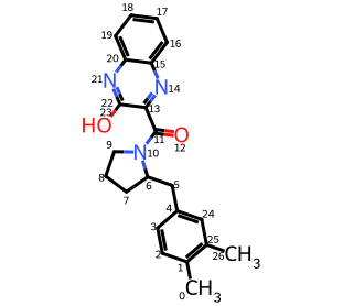 Cc1ccc(CC2CCCN2C(=O)c2nc3ccccc3nc2O)cc1C